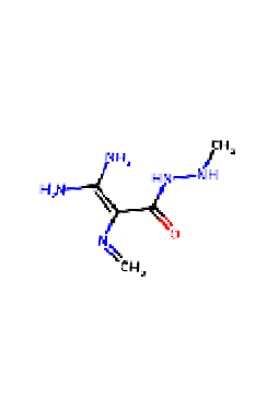 C=NC(C(=O)NNC)=C(N)N